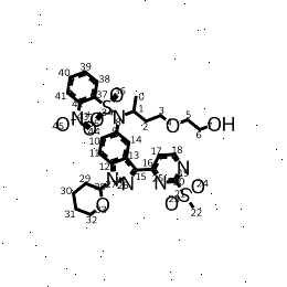 CC(CCOCCO)N(c1ccc2c(c1)c(-c1ccnc(S(C)(=O)=O)n1)nn2C1CCCCO1)S(=O)(=O)c1ccccc1[N+](=O)[O-]